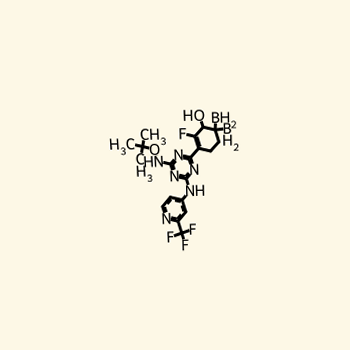 BC1(B)CCC(c2nc(NOC(C)(C)C)nc(Nc3ccnc(C(F)(F)F)c3)n2)=C(F)C1O